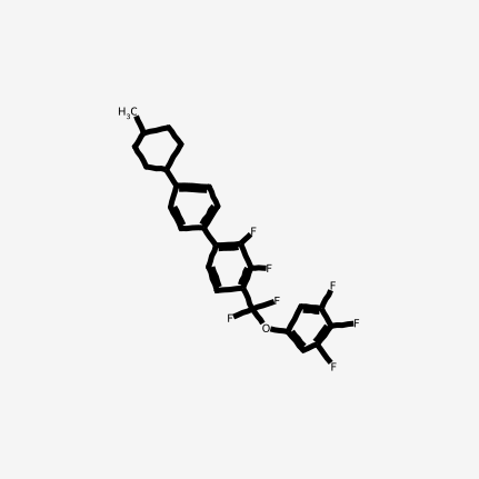 CC1CCC(c2ccc(-c3ccc(C(F)(F)Oc4cc(F)c(F)c(F)c4)c(F)c3F)cc2)CC1